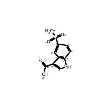 CS(=O)(=O)c1ccc2[nH]cc(C(=O)O)c2c1